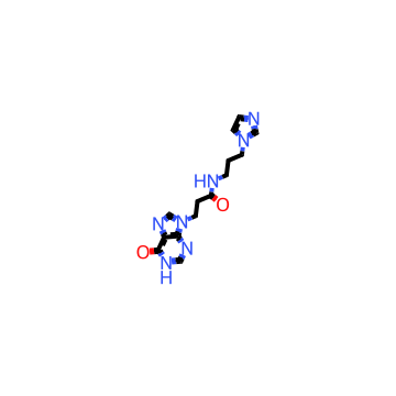 O=C(CCn1cnc2c(=O)[nH]cnc21)NCCCn1ccnc1